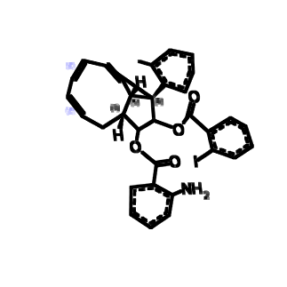 Cc1ccccc1[C@]12C3=C[C@H]1[C@@H](C/C=C\C=C/3)C(OC(=O)c1ccccc1N)C2OC(=O)c1ccccc1I